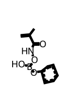 C=C(C)C(=O)NOB(O)Oc1ccccc1